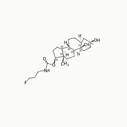 C[C@]12CC[C@H](O)C[C@@H]1CC[C@@H]1[C@@H]2CC[C@]2(C)[C@@H](OC(=O)NCCCF)CC[C@@H]12